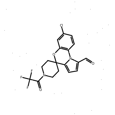 O=Cc1ccc2n1-c1ccc(Cl)cc1OC21CCN(C(=O)C(F)(F)F)CC1